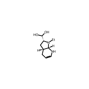 CCN1[C@@H](C(O)O)C[C@H]2CC=CN[C@H]21